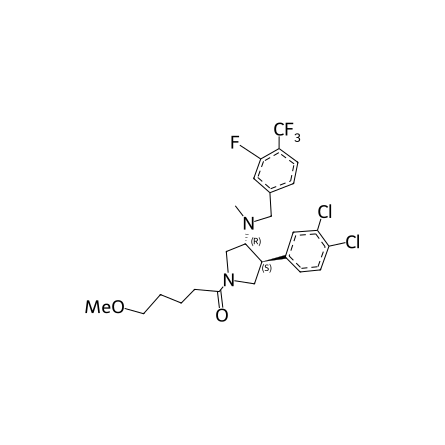 COCCCCC(=O)N1C[C@H](c2ccc(Cl)c(Cl)c2)[C@@H](N(C)Cc2ccc(C(F)(F)F)c(F)c2)C1